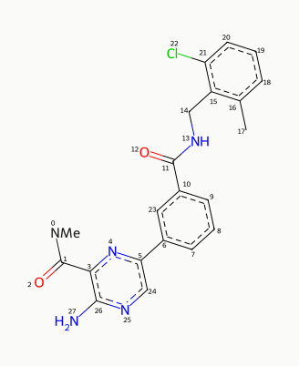 CNC(=O)c1nc(-c2cccc(C(=O)NCc3c(C)cccc3Cl)c2)cnc1N